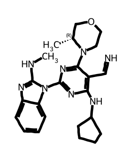 CNc1nc2ccccc2n1-c1nc(NC2CCCC2)c(C=N)c(N2CCOC[C@H]2C)n1